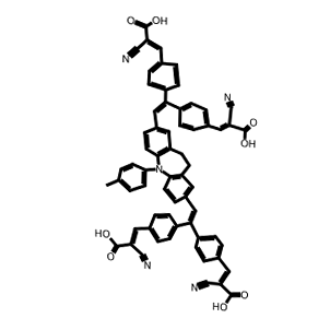 Cc1ccc(N2c3ccc(C=C(c4ccc(/C=C(\C#N)C(=O)O)cc4)c4ccc(/C=C(\C#N)C(=O)O)cc4)cc3CCc3cc(C=C(c4ccc(/C=C(\C#N)C(=O)O)cc4)c4ccc(/C=C(\C#N)C(=O)O)cc4)ccc32)cc1